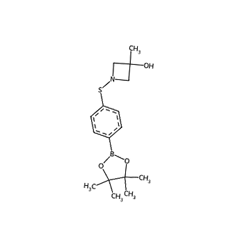 CC1(O)CN(Sc2ccc(B3OC(C)(C)C(C)(C)O3)cc2)C1